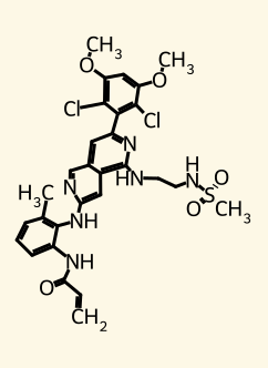 C=CC(=O)Nc1cccc(C)c1Nc1cc2c(NCCNS(C)(=O)=O)nc(-c3c(Cl)c(OC)cc(OC)c3Cl)cc2cn1